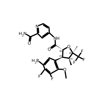 Bc1cc([C@H]2[C@H](C(=O)Nc3ccnc(C(N)=O)c3)O[C@@](C)(C(F)(F)F)[C@H]2C)c(OC)c(F)c1F